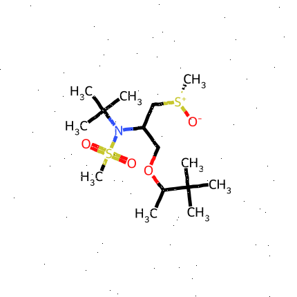 CC(OCC(C[S@+](C)[O-])N(C(C)(C)C)S(C)(=O)=O)C(C)(C)C